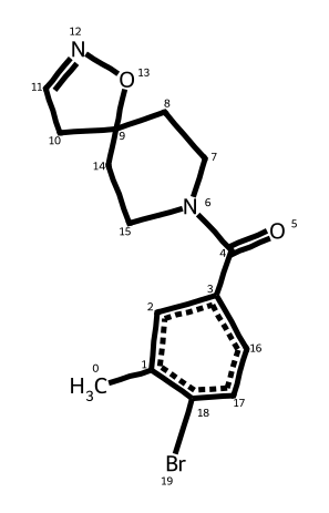 Cc1cc(C(=O)N2CCC3(CC=NO3)CC2)ccc1Br